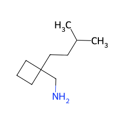 CC(C)CCC1(CN)CCC1